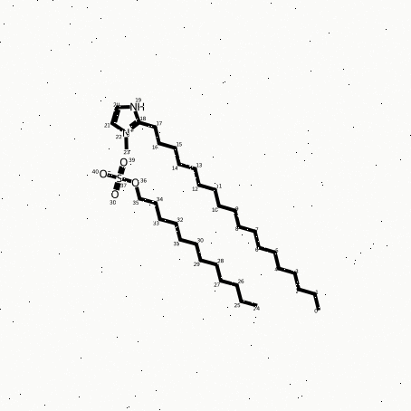 CCCCCCCCCCCCCCCCCCc1[nH]cc[n+]1C.CCCCCCCCCCCCOS(=O)(=O)[O-]